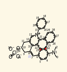 CN(C)c1ccc(/C=C2/CCCc3c[n+](-c4ccccc4)c4c(ccc5ccccc54)c32)cc1.[O-][Cl+3]([O-])([O-])[O-]